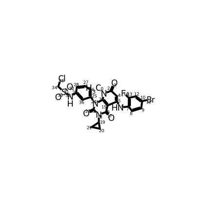 Cn1c(=O)cc(Nc2ccc(Br)cc2F)c2c(=O)n(C3CC3)c(=O)n(-c3cccc(NS(=O)(=O)CCl)c3)c21